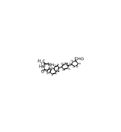 C[C@@H]1CNc2c(sc3ccc4nc(-c5ccc([C@@H]6CCCC(C=O)C6)nc5)ccc4c23)C(=O)N1